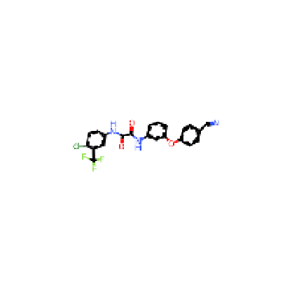 N#Cc1ccc(Oc2cccc(NC(=O)C(=O)Nc3ccc(Cl)c(C(F)(F)F)c3)c2)cc1